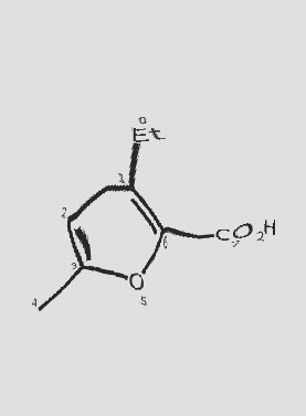 CCc1cc(C)oc1C(=O)O